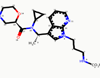 C[C@@H](c1cn(CCCNC(=O)O)c2ncccc12)N(C(=O)[C@H]1CNCCO1)C1CC1